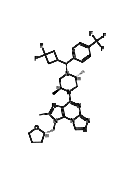 Cc1nc2c(N3C[C@@H](C)N(C(c4ccc(C(F)(F)F)cc4)C4CC(F)(F)C4)C[C@@H]3C)nc3nncn3c2n1C[C@@H]1CCCO1